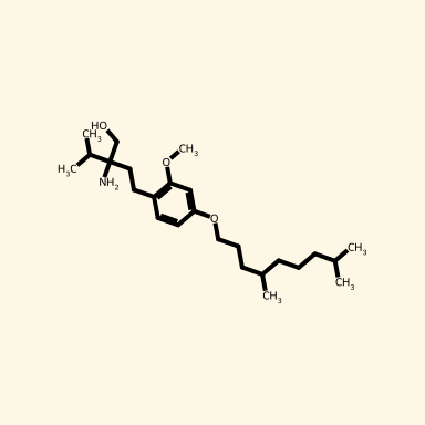 COc1cc(OCCCC(C)CCCC(C)C)ccc1CCC(N)(CO)C(C)C